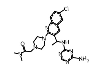 CC(Nc1ncnc(N)n1)c1cc2cc(Cl)ccc2nc1N1CCN(CC(=O)N(C)C)CC1